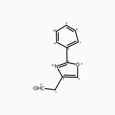 O=[C]Cc1coc(-c2ccccc2)n1